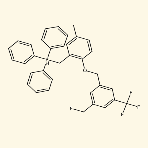 Cc1ccc(OCc2cc(CF)cc(C(F)(F)F)c2)c(C[PH](c2ccccc2)(c2ccccc2)c2ccccc2)c1